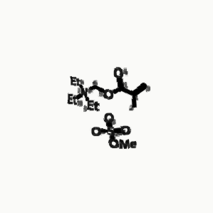 C=C(C)C(=O)OC[N+](CC)(CC)CC.COS(=O)(=O)[O-]